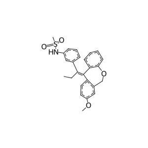 CC/C(=C1\c2ccc(OC)cc2COc2ccccc21)c1cccc(NS(C)(=O)=O)c1